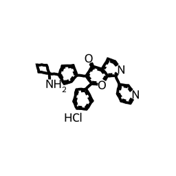 Cl.NC1(c2ccc(-c3c(-c4ccccc4)oc4c(-c5cccnc5)nccc4c3=O)cc2)CCC1